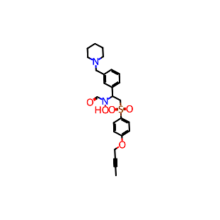 CC#CCOc1ccc(S(=O)(=O)CC(c2cccc(CN3CCCCC3)c2)N(O)C=O)cc1